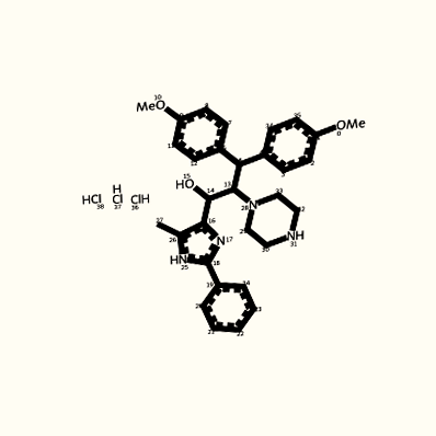 COc1ccc(C(c2ccc(OC)cc2)C(C(O)c2nc(-c3ccccc3)[nH]c2C)N2CCNCC2)cc1.Cl.Cl.Cl